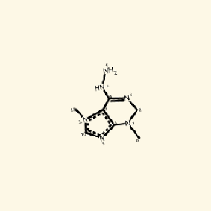 CN1CN=C(NN)c2c1ncn2C